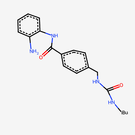 CCC(C)NC(=O)NCc1ccc(C(=O)Nc2ccccc2N)cc1